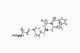 CC1CN(Cc2ccc(/C=C/C(=O)NO)cc2)CC(C)N1C(=O)c1ccco1